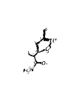 Cc1cc(C(C)C(N)=O)on1